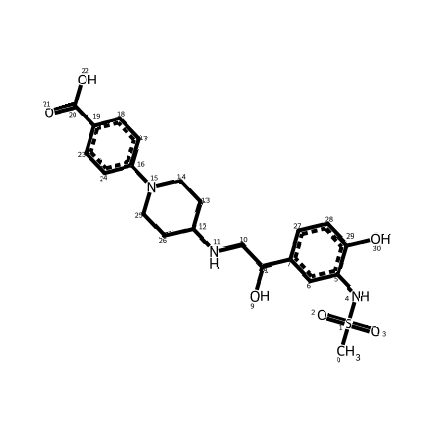 CS(=O)(=O)Nc1cc(C(O)CNC2CCN(c3ccc(C(=O)O)cc3)CC2)ccc1O